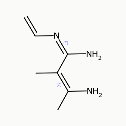 C=C/N=C(N)\C(C)=C(\C)N